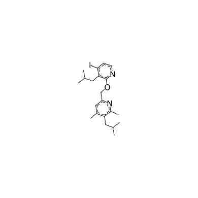 Cc1cc(COc2nccc(I)c2CC(C)C)nc(C)c1CC(C)C